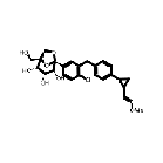 CO/N=C/C1CC1c1ccc(Cc2cc([C@]34OC[C@](CO)(O3)[C@@H](O)[C@H](O)[C@H]4O)ccc2Cl)cc1